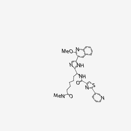 CNC(=O)CCCCCC(NC(=O)c1csc(-c2cccnc2)n1)c1ncc(-c2cc3ccccc3nc2OC)[nH]1